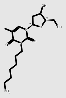 Cc1cn([C@H]2CC(O)[C@@H](CO)O2)c(=O)n(CCCCCCN)c1=O